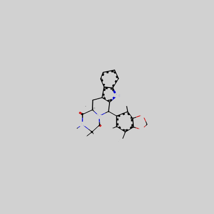 [2H]c1c([2H])c(C2c3[nH]c4ccccc4c3C[C@]3([2H])C(=O)N(C)C([2H])([2H])C(=O)N23)c([2H])c2c1OCO2